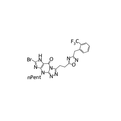 CCCCCn1c2nc(Br)[nH]c2c(=O)n2c(CCc3nc(Cc4ccccc4C(F)(F)F)no3)nnc12